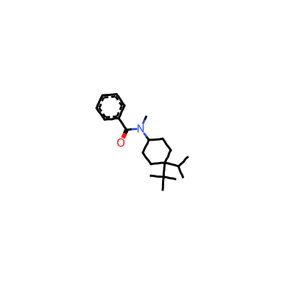 CC(C)C1(C(C)(C)C)CCC(N(C)C(=O)c2ccccc2)CC1